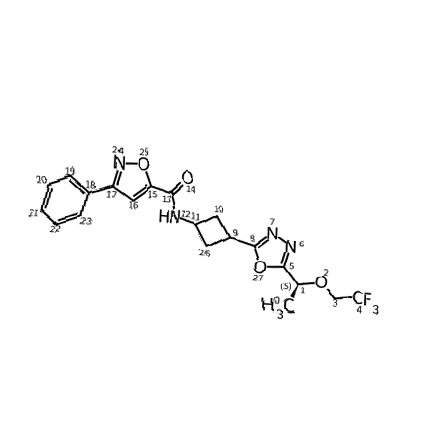 C[C@H](OCC(F)(F)F)c1nnc(C2CC(NC(=O)c3cc(-c4ccccc4)no3)C2)o1